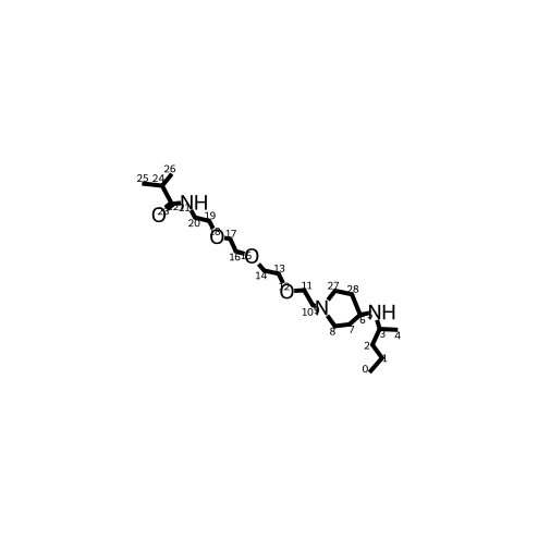 CCCC(C)NC1CCN(CCOCCOCCOCCNC(=O)C(C)C)CC1